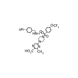 CCCc1ccc(CNC(=O)[C@H]2CN(c3cnc(C(=O)O)c(C)n3)CCN2S(=O)(=O)c2ccc(OC(F)(F)F)cc2)cc1